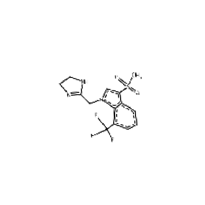 CS(=O)(=O)c1cn(CC2=NCCN2)c2c(C(F)(F)F)cccc12